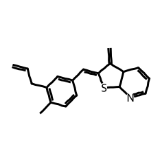 C=CCc1cc(/C=C2\SC3N=CC=CC3C2=C)ccc1C